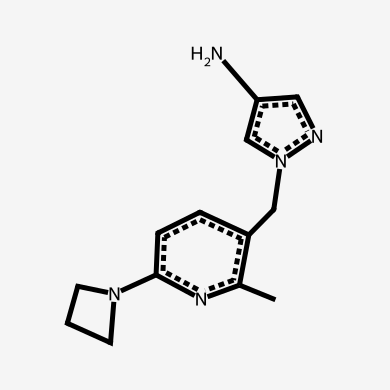 Cc1nc(N2CCC2)ccc1Cn1cc(N)cn1